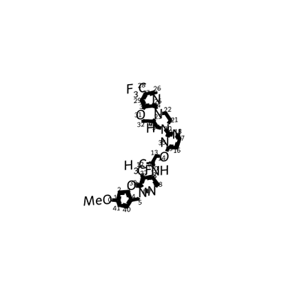 COc1ccc(Cn2ncc(N[C@@H](C)COc3ccnc(N4CCN5c6ncc(C(F)(F)F)cc6OC[C@@H]5C4)n3)c(C(F)(F)F)c2=O)cc1